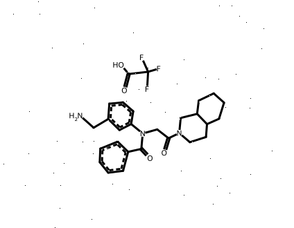 NCc1cccc(N(CC(=O)N2CCC3CCCCC3C2)C(=O)c2ccccc2)c1.O=C(O)C(F)(F)F